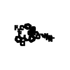 CC(=Cc1ccc2c(c1)N(S(=O)(=O)c1cccc(C(F)(F)F)c1)C[C@H](CCN=[N+]=[N-])O2)c1c(F)cccc1Cl